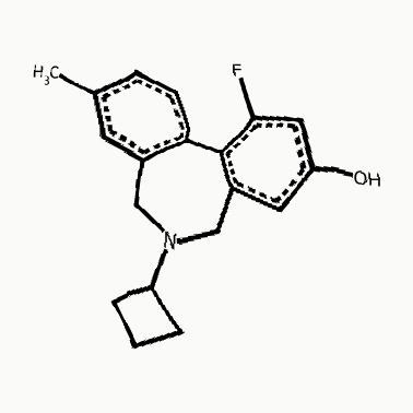 Cc1ccc2c(c1)CN(C1CCC1)Cc1cc(O)cc(F)c1-2